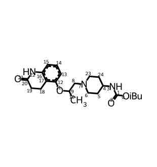 CC(C)COC(=O)NC1CCN(CC(C)Oc2cccc3c2CCC(=O)N3)CC1